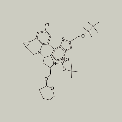 CC(C)(C)OC(=O)N1C[C@@H](N2CC3CC3c3cc(Cl)cc(-c4ccnc5cc(CO[Si](C)(C)C(C)(C)C)sc45)c32)C[C@@H]1COC1CCCCO1